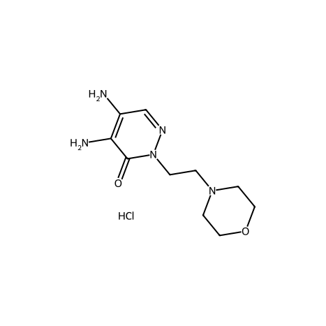 Cl.Nc1cnn(CCN2CCOCC2)c(=O)c1N